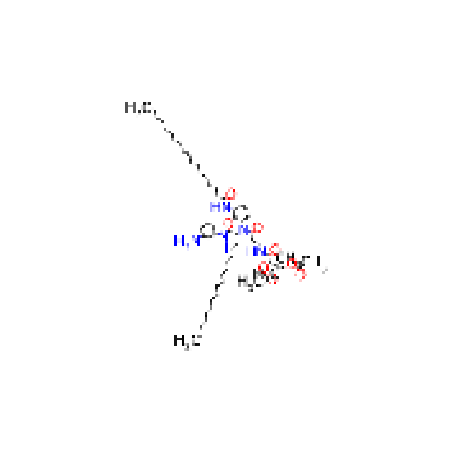 CCCCCCCCC=CCCCCCCCC(=O)Nc1cccc(N(C(=O)CCNC(=O)C(OC(C)=O)C(C)(C)COC(C)=O)C(CCCCCCC=CCCCCCCCC)C(=O)Nc2cccc(N)c2)c1